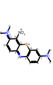 CN(C)c1ccc2nc3ccc(=[N+](C)C)c([N+](=O)[O-])c-3sc2c1